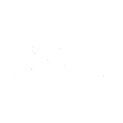 CC(C)n1c(=O)c2cnc(Nc3ccc4c(c3)CNCC4)nc2n1-c1ccnc(C2(C)CC2)n1